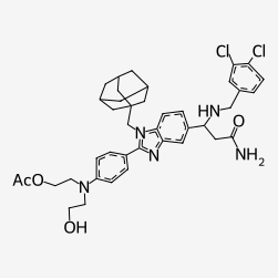 CC(=O)OCCN(CCO)c1ccc(-c2nc3cc(C(CC(N)=O)NCc4ccc(Cl)c(Cl)c4)ccc3n2CC23CC4CC(CC(C4)C2)C3)cc1